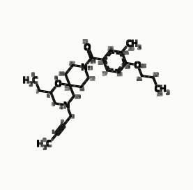 CC#CCN1CC(CC)OC2(CCN(C(=O)c3ccc(OCCC)c(C)c3)CC2)C1